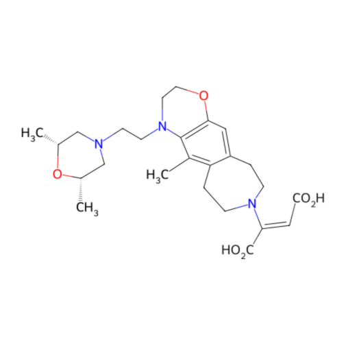 Cc1c2c(cc3c1N(CCN1C[C@@H](C)O[C@@H](C)C1)CCO3)CCN(/C(=C\C(=O)O)C(=O)O)CC2